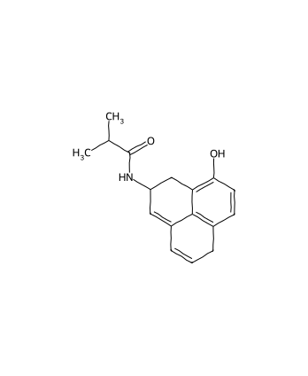 CC(C)C(=O)NC1C=C2C=CCc3ccc(O)c(c32)C1